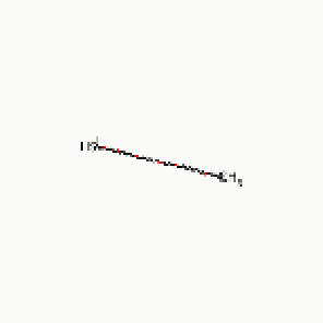 CCCCCCCCCCCCCCCCCCCCCCCCCCCCCCCCCCCCCCC(S)I